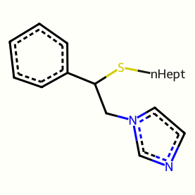 CCCCCCCSC(Cn1ccnc1)c1ccccc1